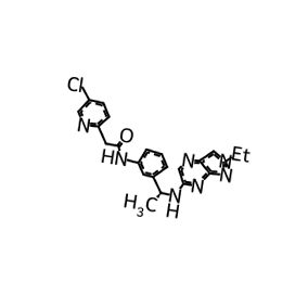 CCn1cc2ncc(N[C@@H](C)c3cccc(NC(=O)Cc4ccc(Cl)cn4)c3)nc2n1